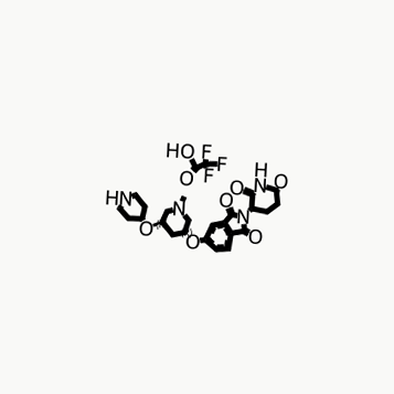 CN1C[C@H](Oc2ccc3c(c2)C(=O)N(C2CCC(=O)NC2=O)C3=O)C[C@@H](OC2CCNCC2)C1.O=C(O)C(F)(F)F